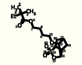 CCC(C)(C)C(=O)OCCCCOC1C2CC3C1OS(=O)(=O)C3C2